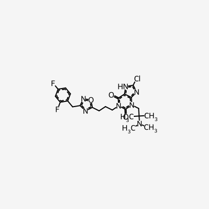 CN(C)C(C)(C)Cn1c(=O)n(CCCc2nc(Cc3ccc(F)cc3F)no2)c(=O)c2[nH]c(Cl)nc21